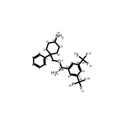 C[C@@H](OCC1(c2ccccc2)CCC(N)CC1)c1cc(C(F)(F)F)cc(C(F)(F)F)c1